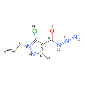 C=CCn1nc(C)c(C(=O)N=[N+]=[N-])c1Cl